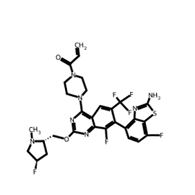 C=CC(=O)N1CCN(c2nc(OC[C@@H]3C[C@@H](F)CN3C)nc3c(F)c(-c4ccc(F)c5sc(N)nc45)c(C(F)(F)F)cc23)CC1